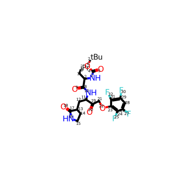 CC(C)CC(NC(=O)OC(C)(C)C)C(=O)NC(CC1CCNC1=O)C(=O)COc1c(F)c(F)cc(F)c1F